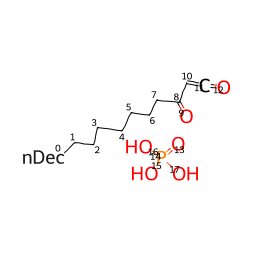 CCCCCCCCCCCCCCCCCC(=O)C=C=O.O=P(O)(O)O